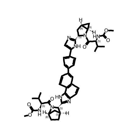 COC(=O)N[C@H](C(=O)N1[C@@H]2CC[C@@H](C2)[C@H]1c1nc2ccc3cc(-c4ccc(-c5cnc([C@@H]6C[C@H]7C[C@H]7N6C(=O)[C@@H](NC(=O)OC)C(C)C)[nH]5)cc4)ccc3c2[nH]1)C(C)C